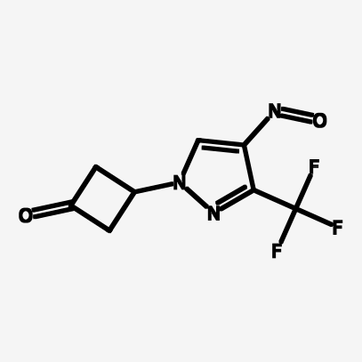 O=Nc1cn(C2CC(=O)C2)nc1C(F)(F)F